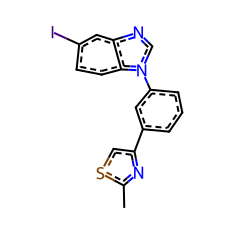 Cc1nc(-c2cccc(-n3cnc4cc(I)ccc43)c2)cs1